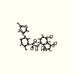 Cc1nc(-c2ccc(C)c(S(=O)(=O)Nc3ccc(Cl)c4c(Cl)c[nH]c34)c2)cs1